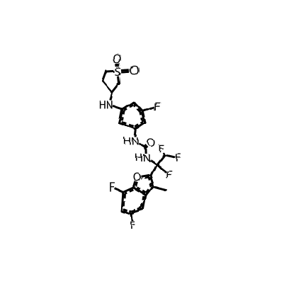 Cc1c(C(F)(NC(=O)Nc2cc(F)cc(NC3CCS(=O)(=O)C3)c2)C(F)F)oc2c(F)cc(F)cc12